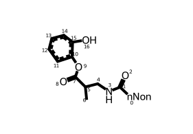 CCCCCCCCCC(=O)NCC(C)C(=O)Oc1ccccc1O